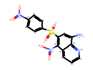 Nc1cc(S(=O)(=O)c2ccc([N+](=O)[O-])cc2)c([N+](=O)[O-])c2cccnc12